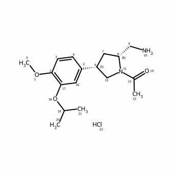 COc1ccc([C@@H]2C[C@H](CN)N(C(C)=O)C2)cc1OC(C)C.Cl